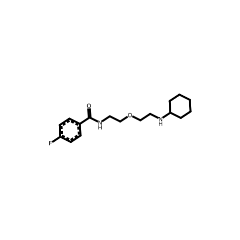 O=C(NCCOCCNC1CCCCC1)c1ccc(F)cc1